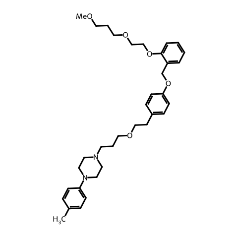 COCCCOCCOc1ccccc1COc1ccc(CCOCCCN2CCN(c3ccc(C)cc3)CC2)cc1